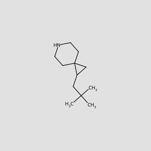 CC(C)(C)CC1CC12CCNCC2